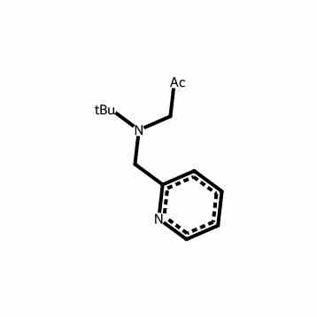 CC(=O)CN(Cc1ccccn1)C(C)(C)C